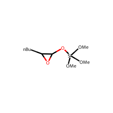 CCCCC1OC1O[Si](OC)(OC)OC